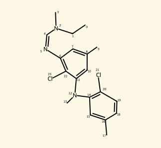 CCN(C)/C=N\c1cc(C)cc(N(C)c2cc(C)ccc2Cl)c1Cl